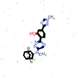 CN(c1cnc(-c2ccc(-c3ncn(C)n3)cc2O)nn1)[C@H]1C[C@@H]2CCC[C@@H](C2)[C@H]1F